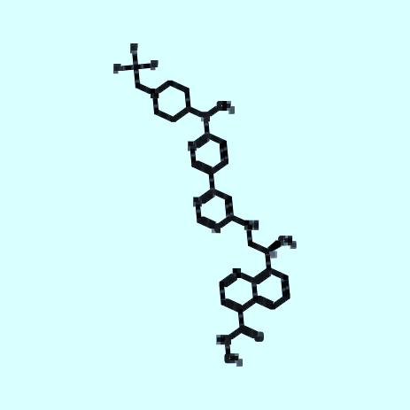 CNC(=O)c1ccnc2c([C@H](C)CNc3cc(-c4ccc(N(C)C5CCN(CC(F)(F)F)CC5)nc4)ncn3)cccc12